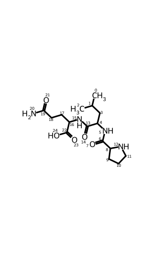 CC(C)CC(NC(=O)C1CCCN1)C(=O)NC(CCC(N)=O)C(=O)O